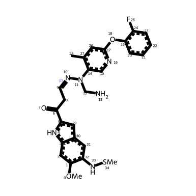 COc1cc2[nH]c(C(=O)C/C=N\N(CN)c3cnc(Oc4ccccc4F)cc3C)cc2cc1NSC